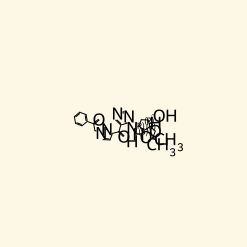 CC1(C)O[C@@H]2[C@@H](CO)C[C@@H](Nc3ncncc3C(=O)c3ccn(CC(=O)c4ccccc4)n3)[C@@H]2O1